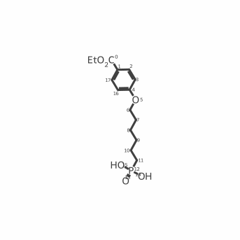 CCOC(=O)c1ccc(OCCCCCCP(=O)(O)O)cc1